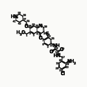 CCc1cc2c(Oc3ccc(NC(=O)C(=O)NCc4ccc(Cl)cc4N)cc3F)ccnc2cc1OCC1CCNCC1